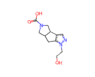 O=C(O)N1CC2Cc3c(cnn3CCO)C2C1